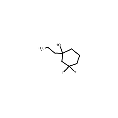 [CH2]CCC1(O)CCCC(F)(F)C1